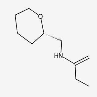 C=C(CC)NC[C@@H]1CCCCO1